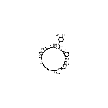 CO[C@H]1C[C@@H]2CC[C@@H](C)[C@@](O)(O2)C(=O)C(=O)N2CCCC[C@H]2C(=O)O[C@H]([C@H](C)C[C@@H]2CC[C@@H](O)[C@H](OC)C2)CC(=N)[C@H](C)/C=C(\C)[C@@H](O)[C@@H](OC)C(=O)[C@H](C)C[C@H](C)/C=C/C=C/C=C/1C